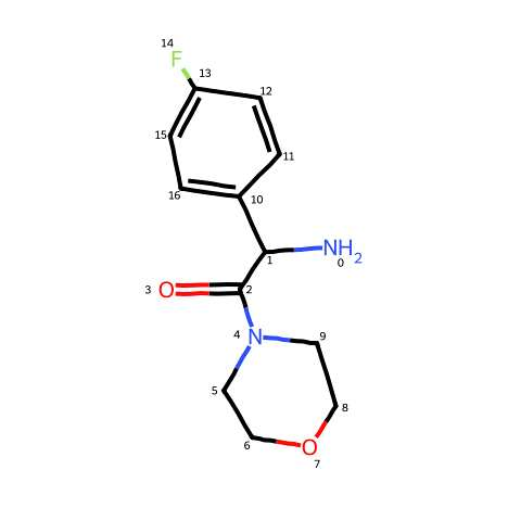 NC(C(=O)N1CCOCC1)c1ccc(F)cc1